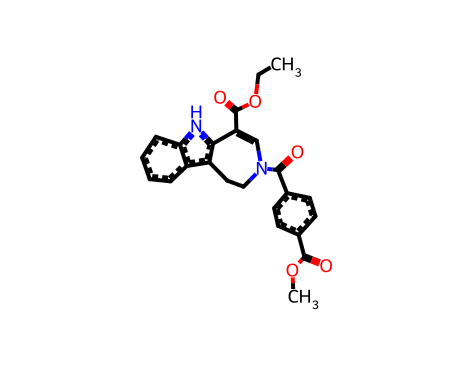 CCOC(=O)C1=CN(C(=O)c2ccc(C(=O)OC)cc2)CCc2c1[nH]c1ccccc21